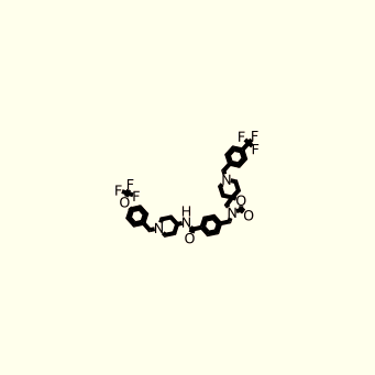 O=C(NC1CCN(Cc2ccc(OC(F)(F)F)cc2)CC1)c1ccc(CN2CC3(CCN(Cc4ccc(C(F)(F)F)cc4)CC3)OC2=O)cc1